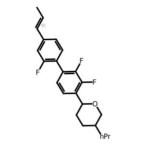 C/C=C/c1ccc(-c2ccc(C3CCC(CCC)CO3)c(F)c2F)c(F)c1